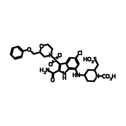 NC(=O)c1[nH]c2c(NC3CCN(C(=O)O)C(CS(=O)(=O)O)C3)cc(Cl)cc2c1S(=O)(=O)N1CCOC(COc2ccccc2)C1